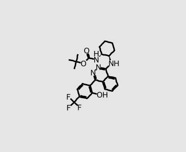 CC(C)(C)OC(=O)N[C@@H]1CCCC[C@H]1Nc1nnc(-c2ccc(C(F)(F)F)cc2O)c2ccccc12